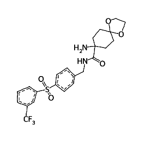 NC1(C(=O)NCc2ccc(S(=O)(=O)c3cccc(C(F)(F)F)c3)cc2)CCC2(CC1)OCCO2